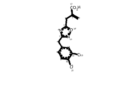 C=C(Cc1nc(Cc2ccc(Cl)c(Cl)c2)no1)C(=O)O